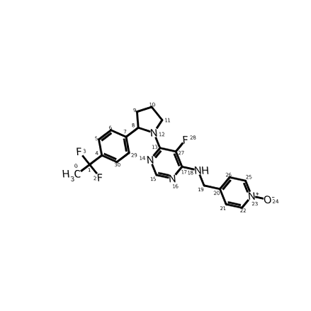 CC(F)(F)c1ccc(C2CCCN2c2ncnc(NCc3cc[n+]([O-])cc3)c2F)cc1